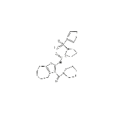 C=S(=O)(c1ccccc1)N1CCC[C@@H]1C(=O)Nc1sc2c(c1C(=O)N1CCCCC1)CCCCC2